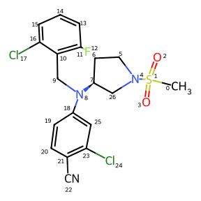 CS(=O)(=O)N1CC[C@H](N(Cc2c(F)cccc2Cl)c2ccc(C#N)c(Cl)c2)C1